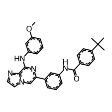 COc1cccc(Nc2nc(-c3cccc(NC(=O)c4ccc(C(C)(C)C)cc4)c3)cn3ccnc23)c1